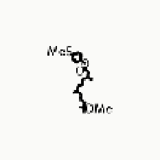 COC(C)(C)CCCC(C)CC=CC(C)=CC(=O)Oc1ccc(SC)cc1